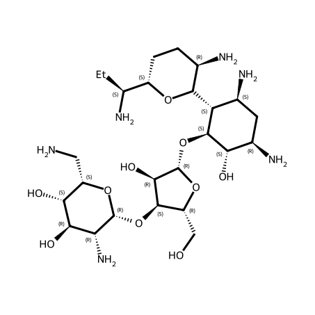 CC[C@H](N)[C@@H]1CC[C@@H](N)C([C@H]2[C@H](O[C@@H]3O[C@H](CO)[C@@H](O[C@H]4O[C@@H](CN)[C@@H](O)[C@H](O)[C@H]4N)[C@H]3O)[C@@H](O)[C@H](N)C[C@@H]2N)O1